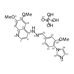 COc1cc2nccc(NN=Cc3ccc(-n4ccnc4)c(OC)c3)c2cc1OC.O=P(O)(O)O